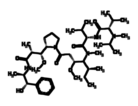 CC[C@H](C)C([C@@H](CC(=O)N1CCC[C@H]1[C@H](OC)[C@@H](C)C(=O)N[C@H](C)[C@@H](O)c1ccccc1)OC)N(C)C(=O)[C@@H](NC(=O)[C@H](C(C)C)N(C)C(C)C)C(C)C